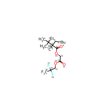 CCC(C)(C)C(C)(CC(C)(C)C)C(=O)OCC(=O)OCC(F)(F)C(F)(F)F